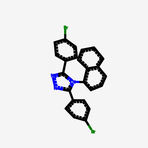 Brc1ccc(-c2nnc(-c3ccc(Br)cc3)n2-c2cccc3ccccc23)cc1